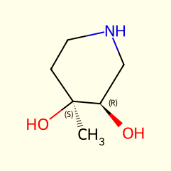 C[C@]1(O)CCNC[C@H]1O